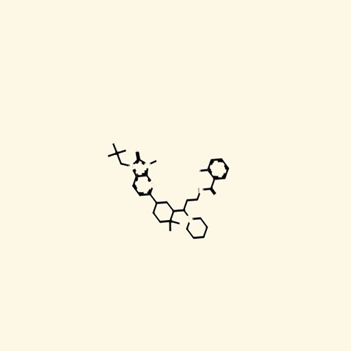 Cn1c(=O)n(CC(C)(C)C)c2ccc(C3CCC(C)(C)C(C(CCNC(=O)c4ccccc4O)N4CCCCC4)C3)nc21